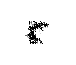 C[C@H](NC(=O)[C@@H]1CCCN1C(=O)[C@H](Cc1c[nH]cn1)NC(=O)[C@H](CS)NC(=O)[C@H](CS)NC(=O)[C@H](CCCNC(=N)N)NC(=O)CN)C(=O)N[C@@H](CS)C(=O)NCC(=O)N[C@@H](CCCCN)C(=O)N[C@@H](Cc1ccc(O)cc1)C(=O)N[C@@H](Cc1ccc(O)cc1)C(=O)N[C@@H](CO)C(=O)N[C@@H](CS)C(=O)O